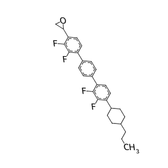 CCCC1CCC(c2ccc(-c3ccc(-c4ccc(C5CO5)c(F)c4F)cc3)c(F)c2F)CC1